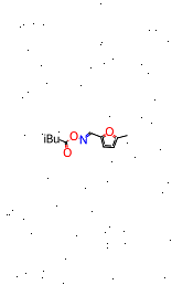 CCC(C)C(=O)O/N=C/c1ccc(C)o1